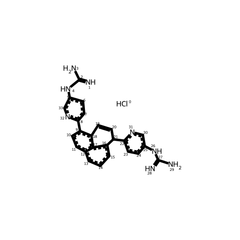 Cl.N=C(N)Nc1ccc(-c2ccc3cccc4c3c2C=CC4c2ccc(NC(=N)N)cn2)nc1